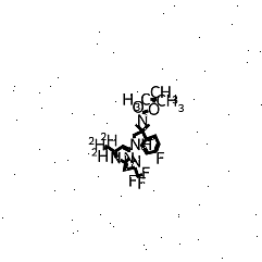 [2H]C([2H])([2H])c1cc(NCC2(c3ccc(F)cc3)CN(C(=O)OC(C)(C)C)C2)n2nc(C(F)(F)F)cc2n1